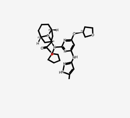 Cc1cc(Nc2cc(O[C@H]3CCOC3)nc(N(C)[C@@H]3C[C@H]4CCC[C@@H](C3)N4CC(=O)N3CCCC3)n2)n[nH]1